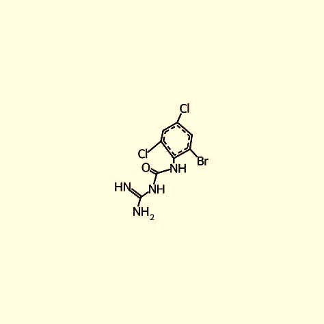 N=C(N)NC(=O)Nc1c(Cl)cc(Cl)cc1Br